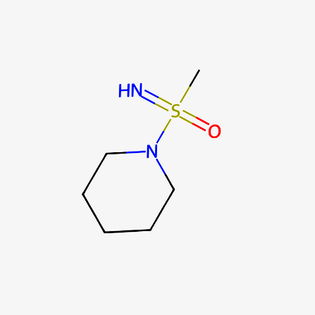 CS(=N)(=O)N1CCCCC1